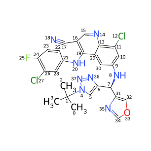 CC(C)(C)n1cc([C@@H](Nc2cc(Cl)c3ncc(C#N)c(Nc4ccc(F)c(Cl)c4)c3c2)c2cocn2)nn1